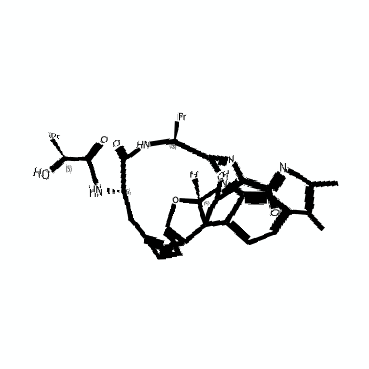 Cc1nc(-c2nc3oc2C24c5ccccc5N[C@H]2Oc2ccc(cc24)C[C@H](NC(=O)[C@@H](O)C(C)C)C(=O)N[C@H]3C(C)C)oc1C